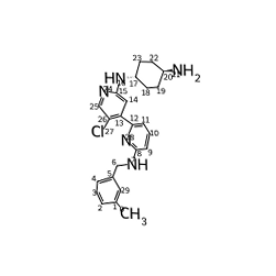 Cc1cccc(CNc2cccc(-c3cc(N[C@H]4CC[C@H](N)CC4)ncc3Cl)n2)c1